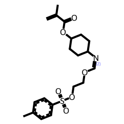 C=C(C)C(=O)OC1CCC(/N=C\OCCOS(=O)(=O)c2ccc(C)cc2)CC1